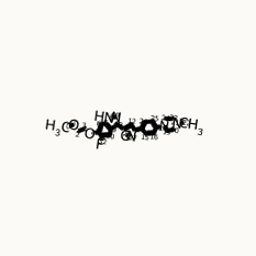 COCCOc1cc2[nH]nc(-c3cc(-c4ccc(N5CCN(C)CC5)cc4)no3)c2cc1F